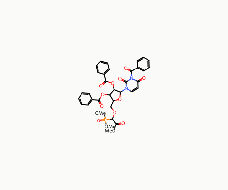 COC(=O)C(OCC1OC(n2ccc(=O)n(C(=O)c3ccccc3)c2=O)C(OC(=O)c2ccccc2)C1OC(=O)c1ccccc1)P(=O)(OC)OC